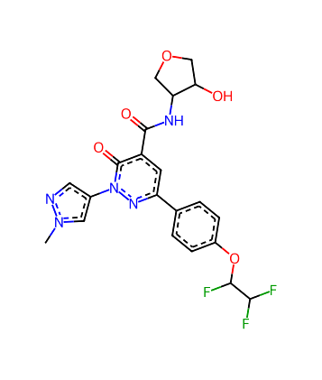 Cn1cc(-n2nc(-c3ccc(OC(F)C(F)F)cc3)cc(C(=O)NC3COCC3O)c2=O)cn1